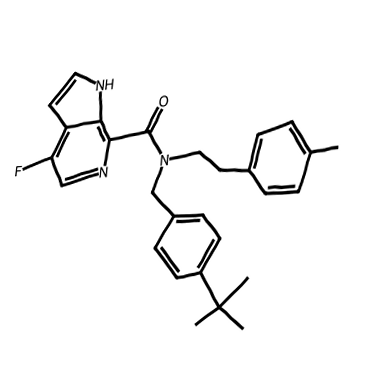 Cc1ccc(CCN(Cc2ccc(C(C)(C)C)cc2)C(=O)c2ncc(F)c3cc[nH]c23)cc1